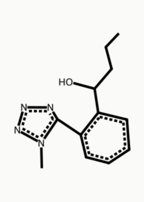 CCCC(O)c1ccccc1-c1nnnn1C